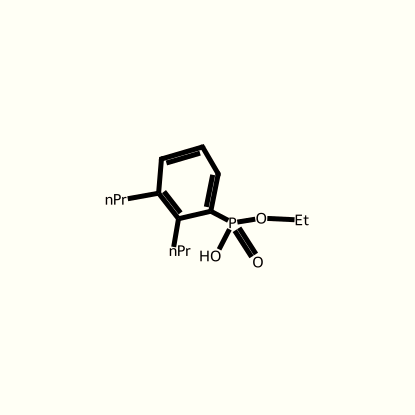 CCCc1cccc(P(=O)(O)OCC)c1CCC